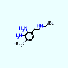 CCC(C)CNCCc1ccc(C(=O)O)c(N)c1N